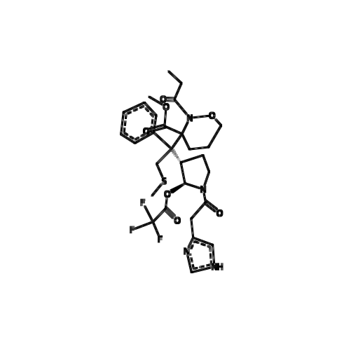 CCC(=O)N1OCCCC1(C(=O)OC)C(CSC)(c1ccccc1)[C@@H]1CCN(C(=O)Cc2c[nH]cn2)[C@H]1OC(=O)C(F)(F)F